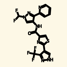 O=C(Nc1cn(C(F)F)nc1-c1ccccn1)c1csc(-c2c[nH]nc2C(F)(F)F)n1